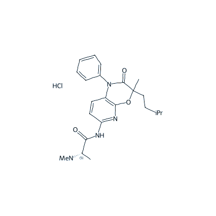 CN[C@@H](C)C(=O)Nc1ccc2c(n1)OC(C)(CCC(C)C)C(=O)N2c1ccccc1.Cl